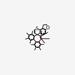 Cc1c(C)c(C)c2c(c1C)-c1c(C)c(C)c(C)c(C)c1C1(C=CSc3c1ccc1c3CCO1)c1c(C)c(C)c(C)c(C)c1-2